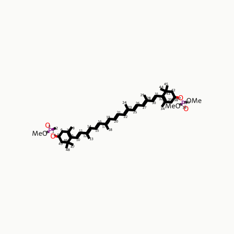 COP(C)(=O)OC1CC(C)=C(/C=C/C(C)=C/C=C/C(C)=C/C=C/C=C(C)/C=C/C=C(C)/C=C/C2=C(C)CC(OP(=O)(OC)OC)CC2(C)C)C(C)(C)C1